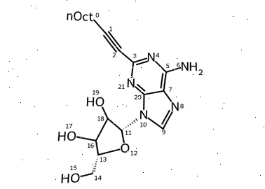 CCCCCCCCC#Cc1nc(N)c2ncn([C@@H]3O[C@H](CO)C(O)C3O)c2n1